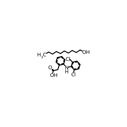 CCCCCCCCCCO.O=C(O)Cc1ccccc1Nc1c(Cl)cccc1Cl